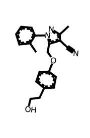 Cc1ccccc1-n1nc(C)c(C#N)c1COc1ccc(CCO)cc1